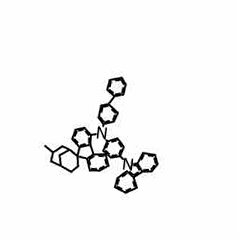 CC1CC2CCC3(c4ccccc4-c4c(N(c5ccc(-c6ccccc6)cc5)c5ccc(-n6c7ccccc7c7ccccc76)cc5)cccc43)C(C1)C2